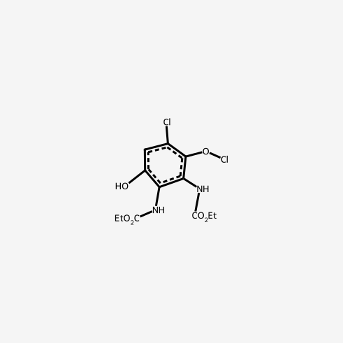 CCOC(=O)Nc1c(O)cc(Cl)c(OCl)c1NC(=O)OCC